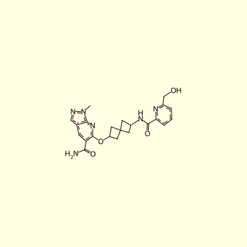 Cn1ncc2cc(C(N)=O)c(OC3CC4(CC(NC(=O)c5cccc(CO)n5)C4)C3)nc21